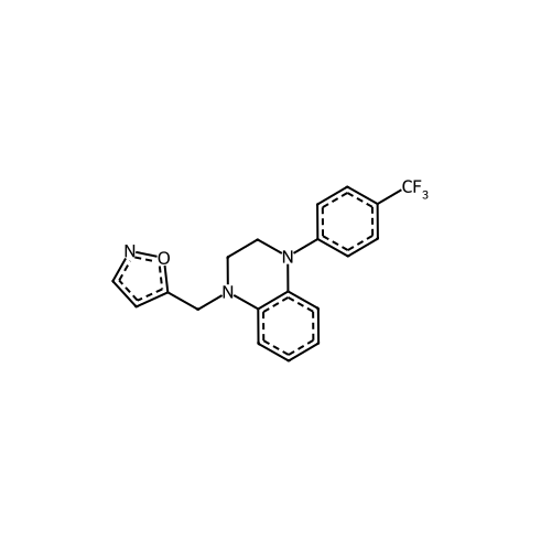 FC(F)(F)c1ccc(N2CCN(Cc3ccno3)c3ccccc32)cc1